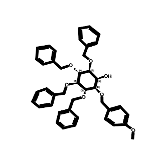 COc1ccc(CO[C@@H]2[C@H](O)[C@H](OCc3ccccc3)[C@@H](OCc3ccccc3)[C@H](OCc3ccccc3)[C@H]2OCc2ccccc2)cc1